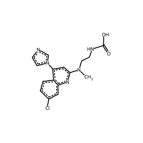 CN(CCNC(=O)O)c1cc(-n2ccnc2)c2ccc(Cl)cc2n1